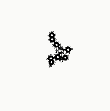 c1ccc(-c2nc(-c3ccc(-c4ccc5ccccc5c4)cc3)nc(-c3cc(-c4cccc5ccccc45)cc4oc5ccccc5c34)n2)cc1